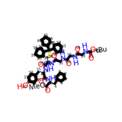 COC(=O)[C@H](Cc1ccccc1)NC(=O)[C@H](Cc1ccc(O)cc1)NC(=O)[C@H](CSC(c1ccccc1)(c1ccccc1)c1ccccc1)NC(=O)CNC(=O)CNC(=O)CNC(=O)OC(C)(C)C